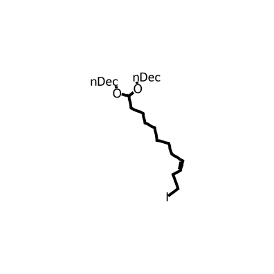 CCCCCCCCCCOC(CCCCCCC/C=C\CCI)OCCCCCCCCCC